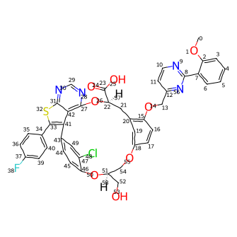 COc1ccccc1-c1nccc(COc2ccc3cc2C[C@H](C(=O)O)Oc2ncnc4sc(-c5ccc(F)cc5)c(c24)-c2ccc(c(Cl)c2)O[C@H](CO)CO3)n1